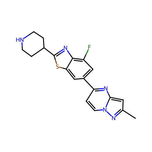 Cc1cc2nc(-c3cc(F)c4nc(C5CCNCC5)sc4c3)ccn2n1